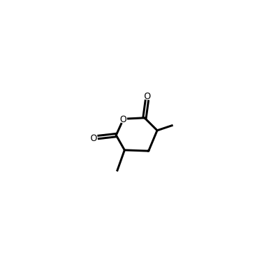 CC1CC(C)C(=O)OC1=O